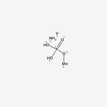 N.O=P(O)(O)[O][Mo].[V]